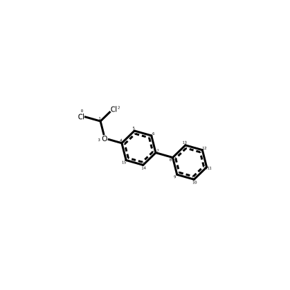 ClC(Cl)Oc1ccc(-c2cc[c]cc2)cc1